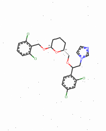 Clc1ccc(C(Cn2ccnc2)OC[C@H]2CCC[C@H](OCc3c(Cl)cccc3Cl)O2)c(Cl)c1